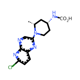 C[C@@H]1C[C@H](NC(=O)O)CCN1c1cnc2nc(Cl)ccc2n1